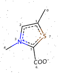 Cc1c[n+](C)c(C(=O)[O-])s1